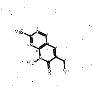 CSc1ncc2cc(CO)c(=O)n(C)c2n1